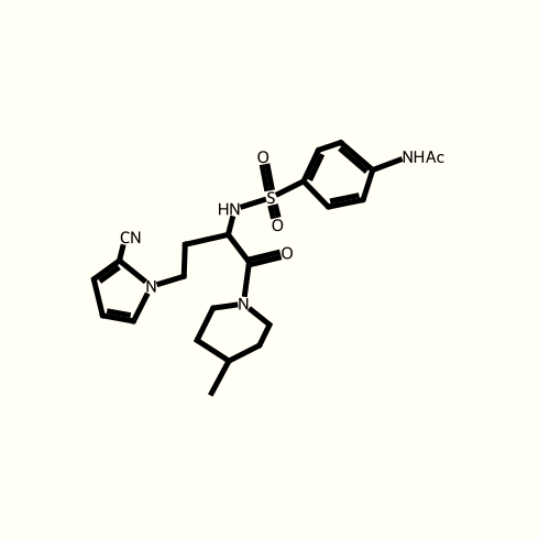 CC(=O)Nc1ccc(S(=O)(=O)NC(CCn2cccc2C#N)C(=O)N2CCC(C)CC2)cc1